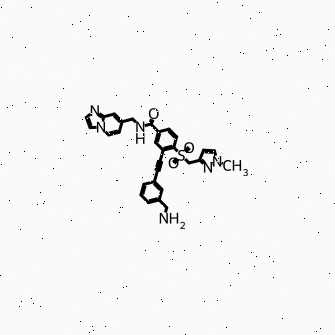 Cn1ccc(CS(=O)(=O)c2ccc(C(=O)NCc3ccn4ccnc4c3)cc2C#Cc2cccc(CN)c2)n1